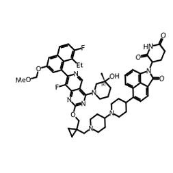 CCc1c(F)ccc2cc(OCOC)cc(-c3ncc4c(N5CCC[C@@](C)(O)C5)nc(OCC5(CN6CCC(N7CCC(c8ccc9c%10c(cccc8%10)N(C8CCC(=O)NC8=O)C9=O)CC7)CC6)CC5)nc4c3F)c12